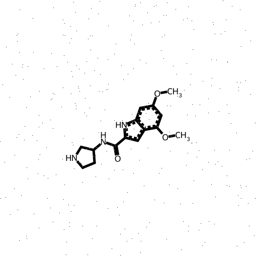 COc1cc(OC)c2cc(C(=O)NC3CCNC3)[nH]c2c1